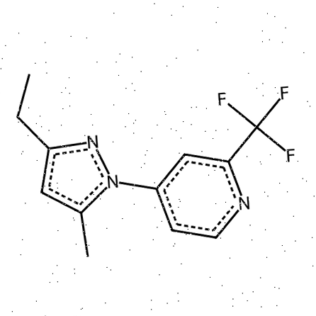 CCc1cc(C)n(-c2ccnc(C(F)(F)F)c2)n1